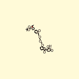 CC(C)(C)OC(=O)N1C[C@@H](c2ccn(CCOCCOCCOc3cccc4c3CN(C3CCC(=O)NC3=O)C4=O)c(=O)c2)CC12CC2